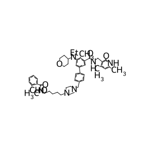 CCN(c1cc(-c2ccc(CN3CCN(CCCCCN(C)C(=O)c4ccccc4C=O)CC3)cc2)cc(C(=O)NCc2c(C)cc(C)[nH]c2=O)c1C)C1CCOCC1